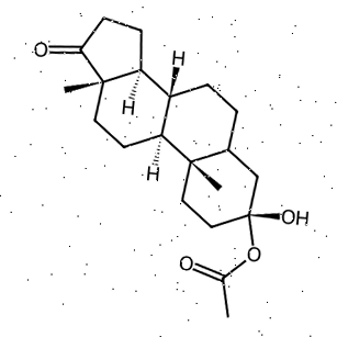 CC(=O)O[C@]1(O)CC[C@@]2(C)C(CC[C@@H]3[C@@H]2CC[C@]2(C)C(=O)CC[C@@H]32)C1